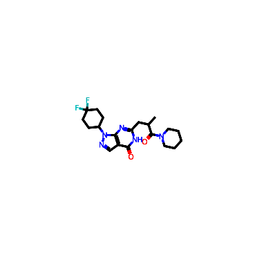 CC(Cc1nc2c(cnn2C2CCC(F)(F)CC2)c(=O)[nH]1)C(=O)N1CCCCC1